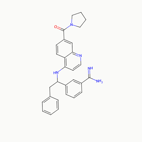 N=C(N)c1cccc(C(Cc2ccccc2)Nc2ccnc3cc(C(=O)N4CCCC4)ccc23)c1